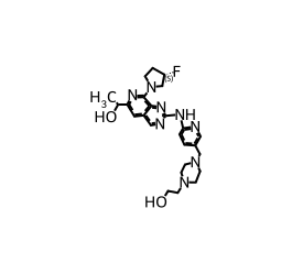 CC(O)c1cc2cnc(Nc3ccc(CN4CCN(CCO)CC4)cn3)nc2c(N2CC[C@H](F)C2)n1